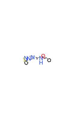 O=C(/C=C/c1ccccc1)NC[C@H]1C[C@@H]1CN1CCN(c2nsc3ccccc23)CC1